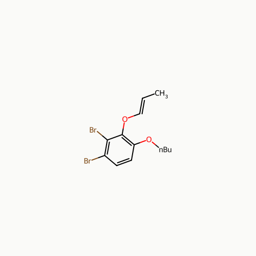 CC=COc1c(OCCCC)ccc(Br)c1Br